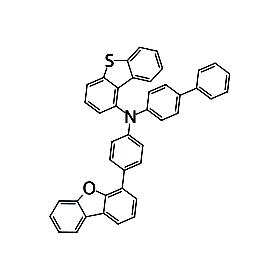 c1ccc(-c2ccc(N(c3ccc(-c4cccc5c4oc4ccccc45)cc3)c3cccc4sc5ccccc5c34)cc2)cc1